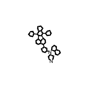 c1ccc(-c2c3c(c(-c4ccccc4)c4ccccc24)-c2ccc(-c4cccc(N(c5ccncc5)c5cccc6ccccc56)c4)c4cccc-3c24)cc1